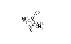 CC(=O)Oc1cc(C)c(OCCN2CCCC2)cc1C(C)C.Cl